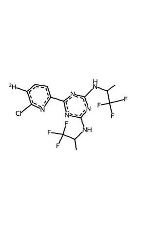 [2H]c1ccc(-c2nc(NC(C)C(F)(F)F)nc(NC(C)C(F)(F)F)n2)nc1Cl